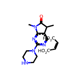 CC1C(=O)N(C)c2nc(N3CCNCC3)ncc21.O=C(O)/C=C\C(=O)O